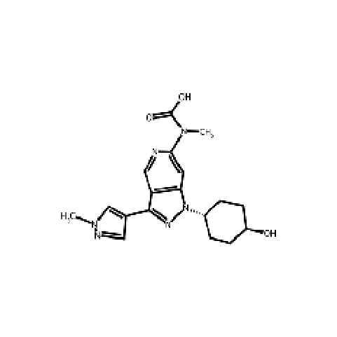 CN(C(=O)O)c1cc2c(cn1)c(-c1cnn(C)c1)nn2[C@H]1CC[C@H](O)CC1